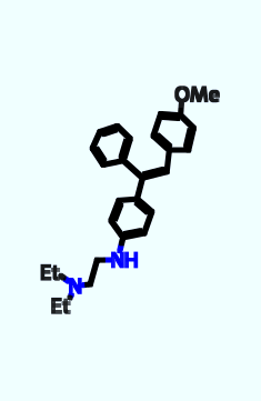 CCN(CC)CCNc1ccc(C(=Cc2ccc(OC)cc2)c2ccccc2)cc1